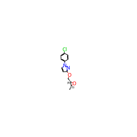 C[C@@H]1O[C@@H]1COc1ccn(-c2ccc(Cl)cc2)n1